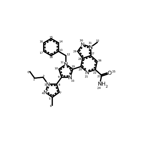 CCCn1nc(C)cc1-c1cn(Cc2ccccc2)c(-c2nc(C(N)=O)cc3c2cnn3C)n1